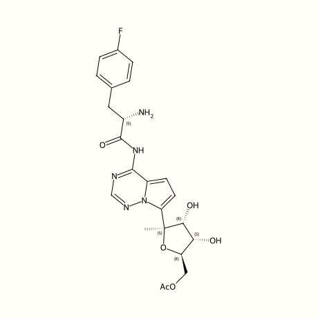 CC(=O)OC[C@H]1O[C@@](C)(c2ccc3c(NC(=O)[C@@H](N)Cc4ccc(F)cc4)ncnn23)[C@H](O)[C@@H]1O